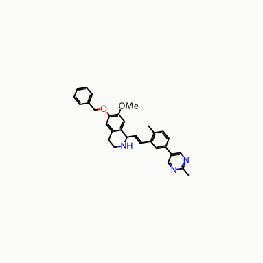 COc1cc2c(cc1OCc1ccccc1)CCNC2/C=C/c1cc(-c2cnc(C)nc2)ccc1C